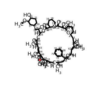 CO[C@H]1C[C@@H]2CC[C@@H](C)[C@@](O)(O2)C(=O)C(=O)N2CCCCC2C(=O)O[C@H]([C@H](C)C[C@@H]2CC[C@@H](O)[C@H](OC)C2)CC(=O)[C@H](C)/C=C(\C)[C@@H](O)[C@@H](OC)C(=O)[C@H](C)C[C@H](C)C2CC[C@H](/C=C/1C)ON2c1ccccc1